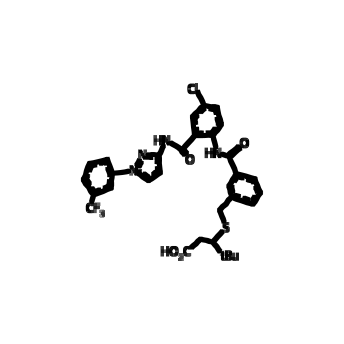 CC(C)(C)C(CC(=O)O)SCc1cccc(C(=O)Nc2ccc(Cl)cc2C(=O)Nc2ccn(-c3cccc(C(F)(F)F)c3)n2)c1